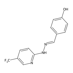 Oc1ccc(C=NNc2ccc(C(F)(F)F)cn2)cc1